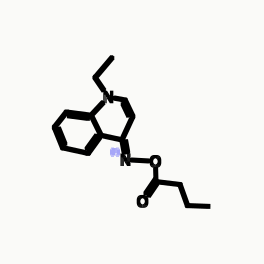 CCCC(=O)O/N=c1\ccn(CC)c2ccccc12